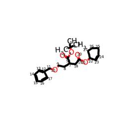 CC(C)(C)OC(=O)C(CCOCc1ccccc1)CC(=O)OC1C=CCCC1